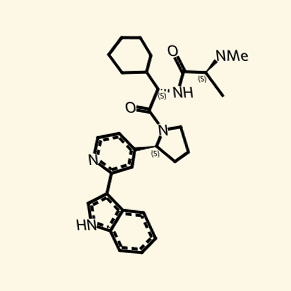 CN[C@@H](C)C(=O)N[C@H](C(=O)N1CCC[C@H]1c1ccnc(-c2c[nH]c3ccccc23)c1)C1CCCCC1